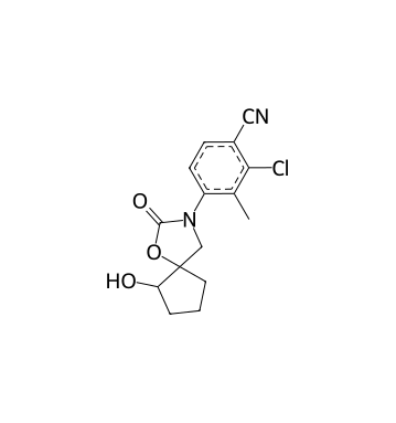 Cc1c(N2CC3(CCCC3O)OC2=O)ccc(C#N)c1Cl